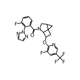 O=C(c1cccc(F)c1-n1nccn1)N1CC2CC23CC(Oc2ncc(C(F)(F)F)cc2F)C13